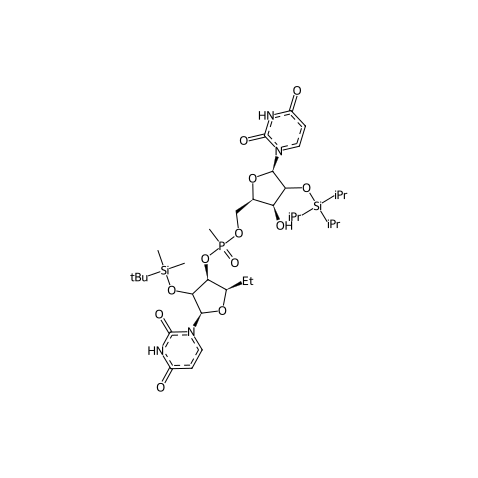 CC[C@H]1O[C@@H](n2ccc(=O)[nH]c2=O)C(O[Si](C)(C)C(C)(C)C)[C@H]1OP(C)(=O)OC[C@H]1O[C@@H](n2ccc(=O)[nH]c2=O)C(O[Si](C(C)C)(C(C)C)C(C)C)[C@H]1O